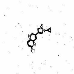 CN1CC(c2cnc3ccc(Cl)nc3c2)=CN1C1CC1